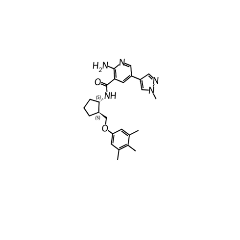 Cc1cc(OC[C@H]2CCC[C@@H]2NC(=O)c2cc(-c3cnn(C)c3)cnc2N)cc(C)c1C